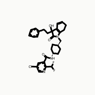 O=C(N[C@H]1CC[C@H](CN2C(=O)C(O)(CCc3ccccc3)C3=C2CCC=C3)CC1)c1cc(Cl)cnc1C(F)F